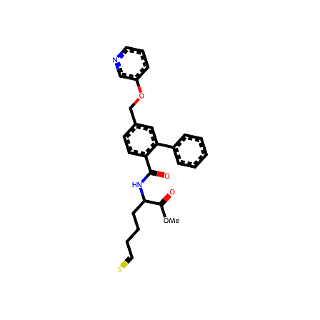 COC(=O)C(CCCC=S)NC(=O)c1ccc(COc2cccnc2)cc1-c1ccccc1